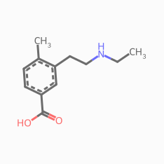 CCNCCc1cc(C(=O)O)ccc1C